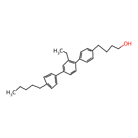 CCCCCc1ccc(-c2ccc(-c3ccc(CCCCO)cc3)c(CC)c2)cc1